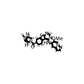 COc1cn2nccc2cc1Nc1ncnc2sc3c(c12)CC[C@H](C(=O)N1C[C@H]2C[C@@H]1CN2C)C3